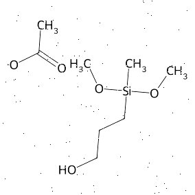 CC([O])=O.CO[Si](C)(CCCO)OC